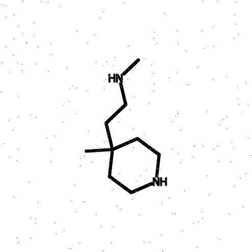 CNCCC1(C)CCNCC1